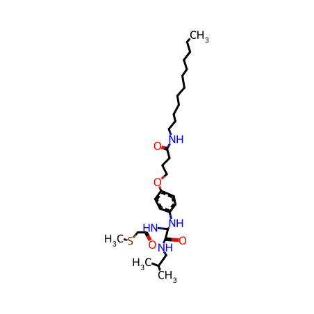 CCCCCCCCCCCCNC(=O)CCCOc1ccc(NC(NC(=O)CSC)C(=O)NCC(C)C)cc1